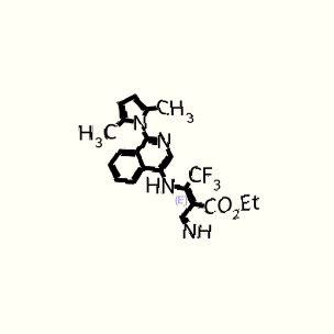 CCOC(=O)/C(C=N)=C(/Nc1cnc(-n2c(C)ccc2C)c2ccccc12)C(F)(F)F